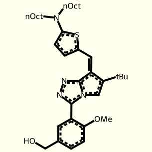 CCCCCCCCN(CCCCCCCC)c1ccc(/C=c2/c(C(C)(C)C)cn3c(-c4cc(CO)ccc4OC)nnc23)s1